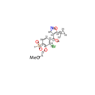 COCCOc1c(S(C)(=O)=O)ccc(C(=O)c2cnoc2C2(C)CC2)c1Br